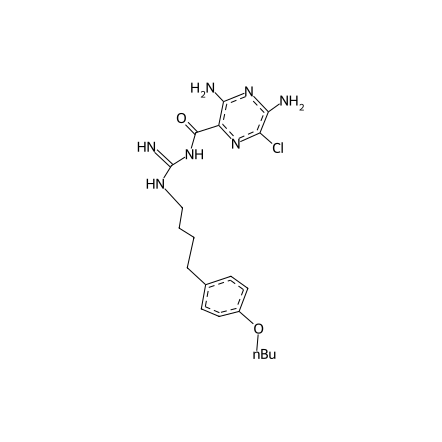 CCCCOc1ccc(CCCCNC(=N)NC(=O)c2nc(Cl)c(N)nc2N)cc1